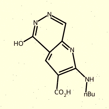 CCCCNc1nc2cnnc(O)c2cc1C(=O)O